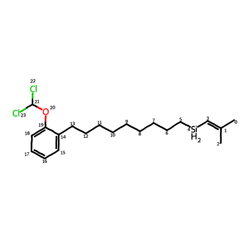 CC(C)=C[SiH2]CCCCCCCCCc1ccccc1OC(Cl)Cl